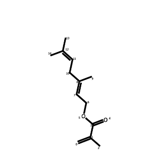 C=C(C)C(=O)OC/C=C(\C)CC=C(C)C